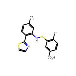 CCc1ccc(C(=O)O)cc1SNc1cc(C(F)(F)F)ccc1-c1nccs1